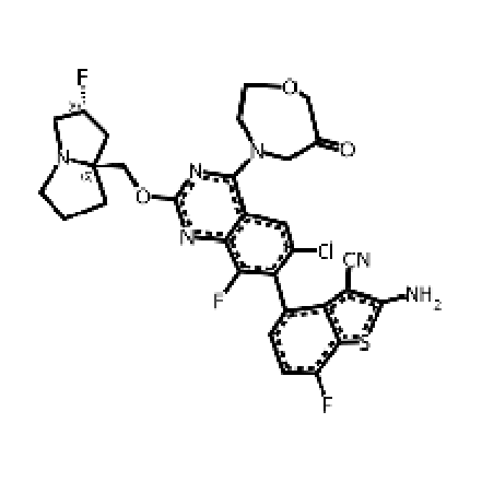 N#Cc1c(N)sc2c(F)ccc(-c3c(Cl)cc4c(N5CCOCC(=O)C5)nc(OC[C@@]56CCCN5C[C@H](F)C6)nc4c3F)c12